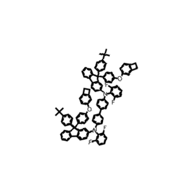 CC(C)(C)c1ccc(C2(c3ccc(Oc4ccc5c(c4)CC5)cc3)c3ccccc3-c3ccc(N(c4ccc(-c5ccc(N(c6ccc7c(c6)C(c6ccc(Oc8ccc9c(c8)CC9)cc6)(c6ccc(C(C)(C)C)cc6)c6ccccc6-7)c6c(F)cccc6F)cc5)cc4)c4c(F)cccc4F)cc32)cc1